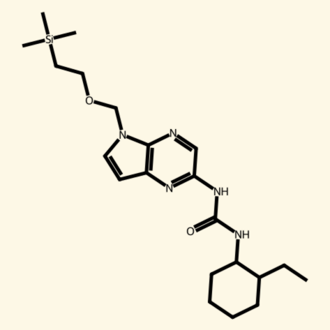 CCC1CCCCC1NC(=O)Nc1cnc2c(ccn2COCC[Si](C)(C)C)n1